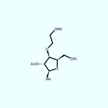 COCCO[C@@H]1[C@@H](OC(C)=O)[C@H](C(C)(C)C)O[C@@H]1COC(C)=O